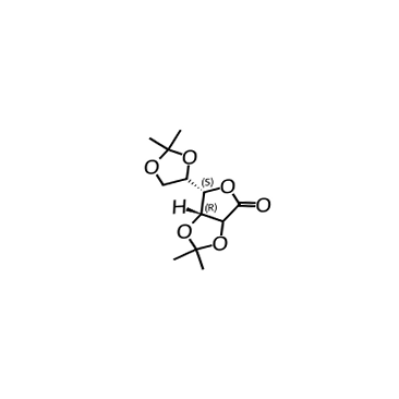 CC1(C)OCC([C@@H]2OC(=O)C3OC(C)(C)O[C@@H]32)O1